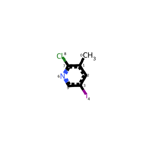 Cc1cc(I)cnc1Cl